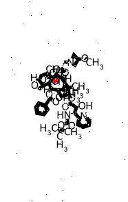 COC1CN(C[C@@H]2O[C@@H]3C4=C(C)[C@@H](OC(=O)[C@H](O)[C@@H](NC(=O)OC(C)(C)C)c5ccccn5)C[C@@](O)([C@@H](OC(=O)c5ccccc5)[C@H]5[C@@](C)(CC[C@H]6OC[C@]65OC(C)=O)[C@@H]3O2)C4(C)C)C1